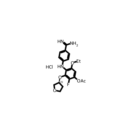 CCOc1cc(OC(C)=O)c(F)c(O[C@H]2CCOC2)c1Nc1ccc(C(=N)N)cc1.Cl